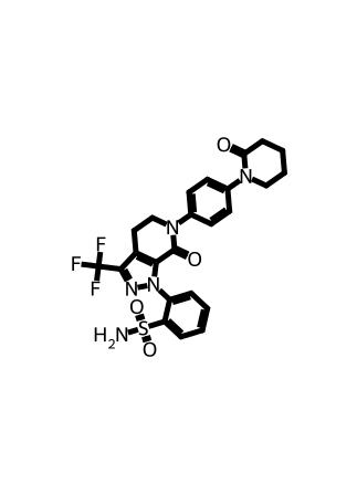 NS(=O)(=O)c1ccccc1-n1nc(C(F)(F)F)c2c1C(=O)N(c1ccc(N3CCCCC3=O)cc1)CC2